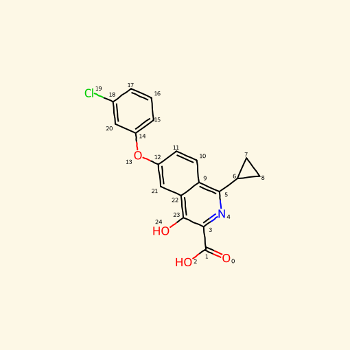 O=C(O)c1nc(C2CC2)c2ccc(Oc3cccc(Cl)c3)cc2c1O